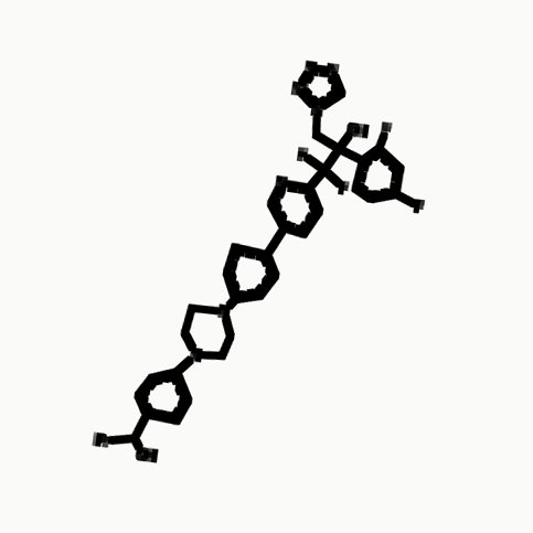 CC(C)C(O)c1ccc(N2CCN(c3ccc(-c4ccc(C(F)(F)C(O)(Cn5cnnn5)c5ccc(F)cc5F)nc4)cc3)CC2)cc1